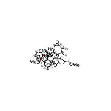 COCCOC1(N2C(O)NC3OC3C(C)C2C)CO[C@H](C2CC2P(=O)(OC)OC)C1O[Si](c1ccccc1)(c1ccccc1)C(C)(C)C